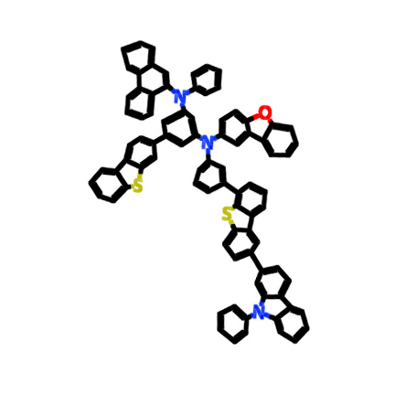 c1ccc(N(c2cc(-c3ccc4c(c3)sc3ccccc34)cc(N(c3cccc(-c4cccc5c4sc4ccc(-c6ccc7c8ccccc8n(-c8ccccc8)c7c6)cc45)c3)c3ccc4oc5ccccc5c4c3)c2)c2cc3ccccc3c3ccccc23)cc1